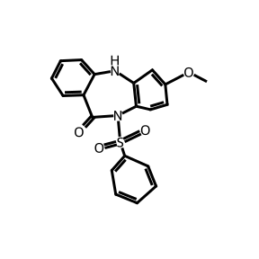 COc1ccc2c(c1)Nc1ccccc1C(=O)N2S(=O)(=O)c1ccccc1